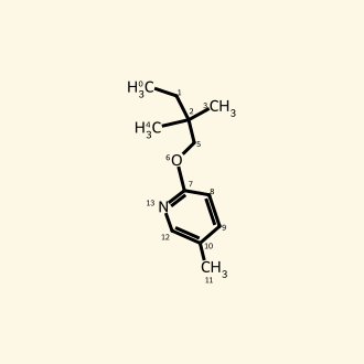 CCC(C)(C)COc1ccc(C)cn1